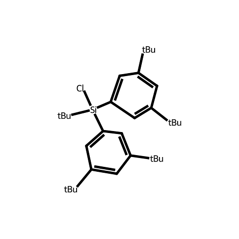 CC(C)(C)c1cc(C(C)(C)C)cc([Si](Cl)(c2cc(C(C)(C)C)cc(C(C)(C)C)c2)C(C)(C)C)c1